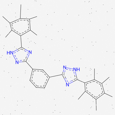 Cc1c(C)c(C)c(-c2nc(-c3cccc(-c4n[nH]c(-c5c(C)c(C)c(C)c(C)c5C)n4)c3)n[nH]2)c(C)c1C